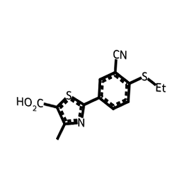 CCSc1ccc(-c2nc(C)c(C(=O)O)s2)cc1C#N